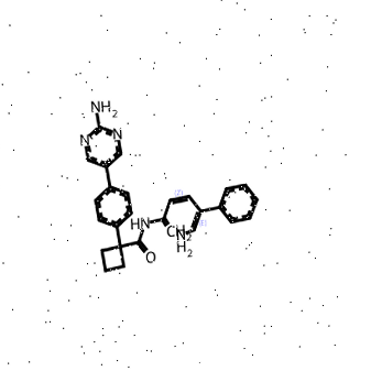 C=C(/C=C\C(=C/N)c1ccccc1)NC(=O)C1(c2ccc(-c3cnc(N)nc3)cc2)CCC1